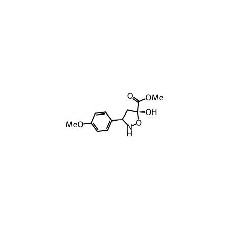 COC(=O)[C@@]1(O)C[C@H](c2ccc(OC)cc2)NO1